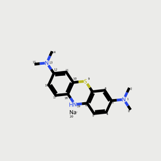 CN(C)c1ccc2c(c1)Sc1cc(N(C)C)ccc1N2.[Na]